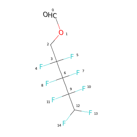 O=COCC(F)(F)C(F)(F)C(F)(F)C(F)F